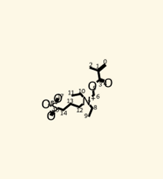 C=C(C)C(=O)OC[N+](CC)(CC)CCCS(=O)(=O)[O-]